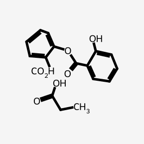 CCC(=O)O.O=C(Oc1ccccc1C(=O)O)c1ccccc1O